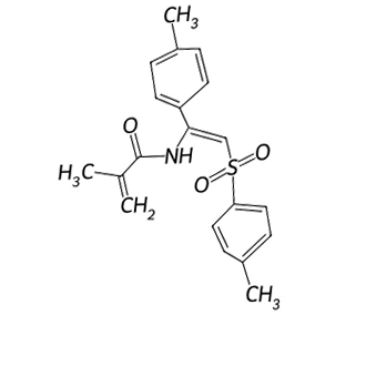 C=C(C)C(=O)NC(=CS(=O)(=O)c1ccc(C)cc1)c1ccc(C)cc1